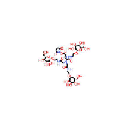 O=C(CN(CC(=O)NCCO[C@@H]1C[C@H](CO)[C@@H](O)[C@H](O)[C@H]1O)[C@@H](CCC(=O)ON1C(=O)CCC1=O)C(=O)NCCO[C@@H]1O[C@H](CO)[C@@H](O)[C@H](O)[C@H]1O)NCCO[C@@H]1O[C@H](CO)[C@@H](O)[C@H](O)[C@H]1O